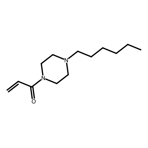 C=CC(=O)N1CCN(CCCCCC)CC1